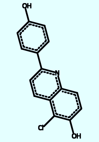 Oc1ccc(-c2ccc3c(Cl)c(O)ccc3n2)cc1